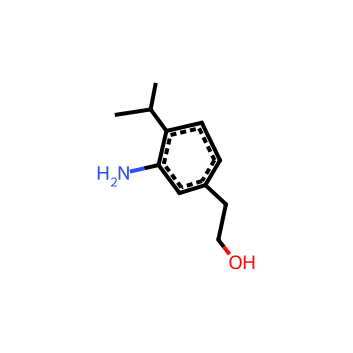 CC(C)c1ccc(CCO)cc1N